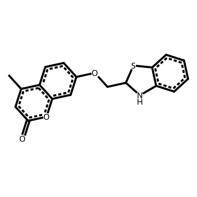 Cc1cc(=O)oc2cc(OCC3Nc4ccccc4S3)ccc12